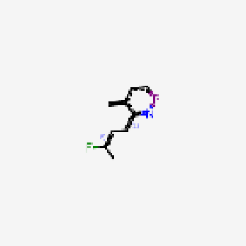 C=c1ccpn/c1=C/C=C(\C)F